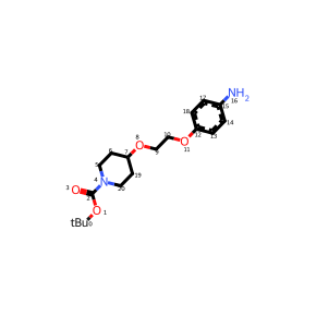 CC(C)(C)OC(=O)N1CCC(OCCOc2ccc(N)cc2)CC1